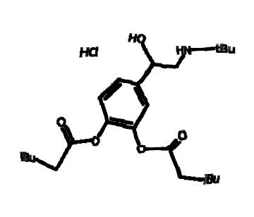 CCC(C)CC(=O)Oc1ccc(C(O)CNC(C)(C)C)cc1OC(=O)CC(C)CC.Cl